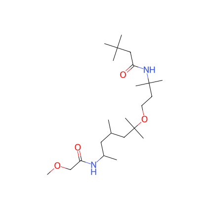 COCC(=O)NC(C)CC(C)CC(C)(C)OCCC(C)(C)NC(=O)CC(C)(C)C